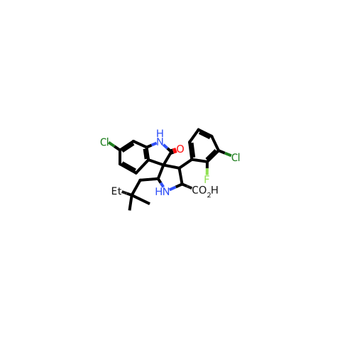 CCC(C)(C)CC1NC(C(=O)O)C(c2cccc(Cl)c2F)C12C(=O)Nc1cc(Cl)ccc12